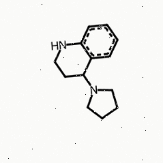 c1ccc2c(c1)NCCC2N1CCCC1